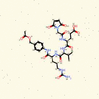 CC(=O)OCc1ccc(NC(=O)[C@H](CCCNC(N)=O)NC(=O)[C@@H](NC(=O)[C@H](CCC(=O)O)NC(=O)CN2C(=O)C=CC2=O)C(C)C)cc1